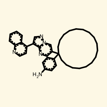 Nc1ccc(C2(c3cnc4c(-c5ccnc6ccccc56)cnn4c3)CCCCCCCCCCCCCCCCC2)cc1